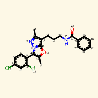 Cc1nn2c(-c3ccc(Cl)cc3Cl)c(C)oc2c1CCCNC(=O)c1ccccc1